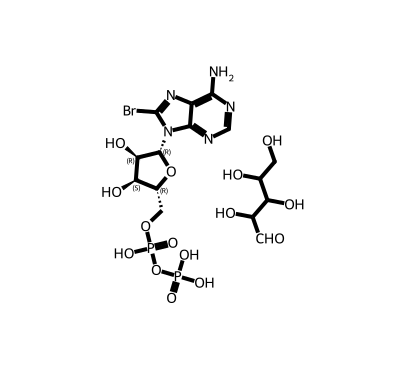 Nc1ncnc2c1nc(Br)n2[C@@H]1O[C@H](COP(=O)(O)OP(=O)(O)O)[C@@H](O)[C@H]1O.O=CC(O)C(O)C(O)CO